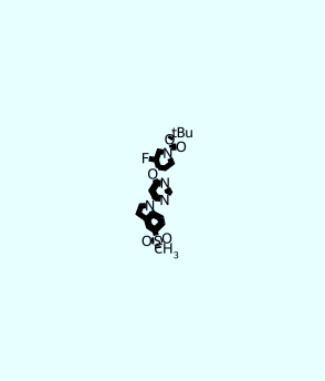 CC(C)(C)OC(=O)N1CCC(Oc2cc(N3CCc4cc(S(C)(=O)=O)ccc43)ncn2)C(F)C1